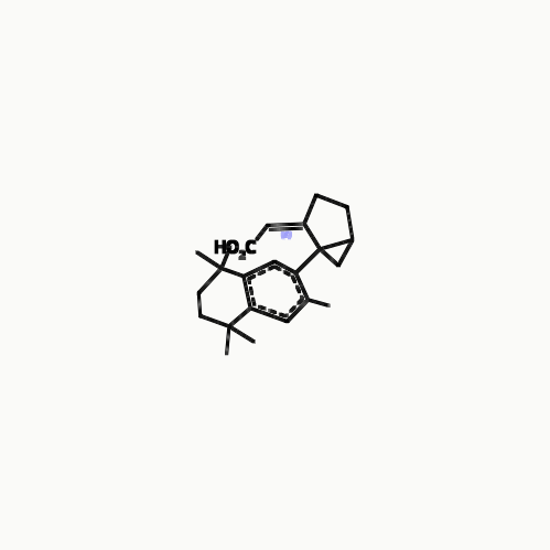 Cc1cc2c(cc1C13CC1CC/C3=C/C(=O)O)C(C)(C)CCC2(C)C